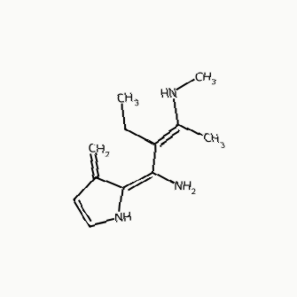 C=c1cc[nH]/c1=C(N)/C(CC)=C(\C)NC